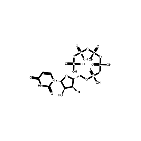 O=c1ccn([C@@H]2O[C@H](COP(=O)(O)OP(=O)(O)OP(=O)(O)OP(=O)(O)OP(=O)(O)O)[C@@H](O)[C@H]2O)c(=O)[nH]1